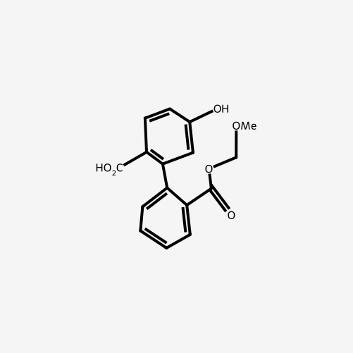 COCOC(=O)c1ccccc1-c1cc(O)ccc1C(=O)O